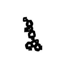 N#CC1(Cc2ccc(Cl)cc2F)CCN(C(=O)c2cccnc2-c2ccncc2)CC1